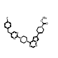 CC(C)(C)OC(=O)N1CC=C(c2cc3c(N4CCN(c5ncc(Cc6ccc(F)cc6)cn5)CC4)ncnn3c2)CC1